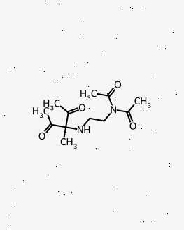 CC(=O)N(CCNC(C)(C(C)=O)C(C)=O)C(C)=O